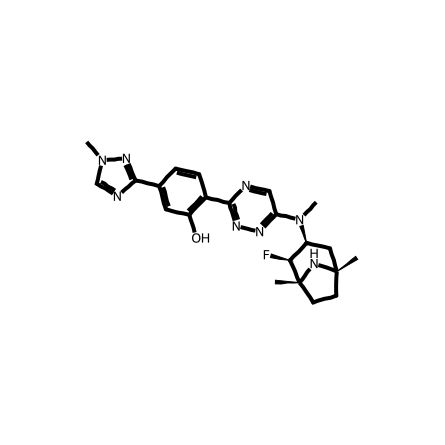 CN(c1cnc(-c2ccc(-c3ncn(C)n3)cc2O)nn1)[C@H]1C[C@]2(C)CC[C@@](C)(N2)[C@H]1F